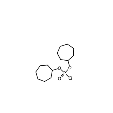 O=P(Cl)(OC1CCCCCC1)OC1CCCCCC1